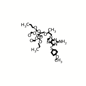 CCCOC(OC=O)OP(=O)(COC(C)Cn1cnc2c(Sc3ccc(OC)cc3)nc(N)nc21)OC(OC=O)OCCC